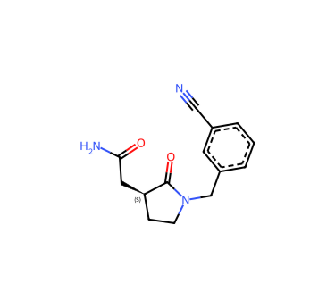 N#Cc1cccc(CN2CC[C@@H](CC(N)=O)C2=O)c1